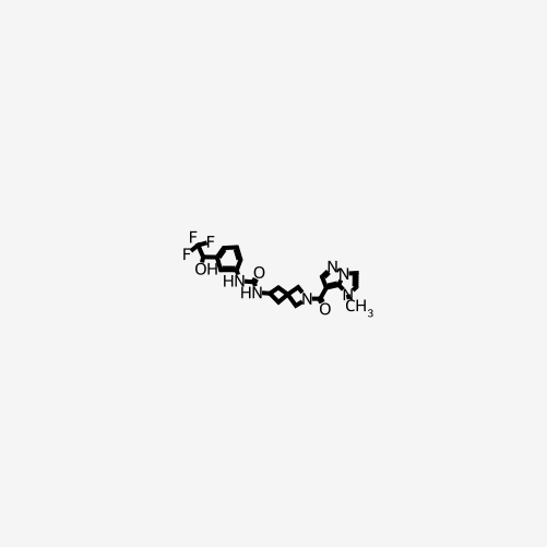 Cn1ccn2ncc(C(=O)N3CC4(CC(NC(=O)Nc5cccc(C(O)C(F)(F)F)c5)C4)C3)c12